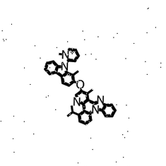 Cc1c(Oc2ccc3c4ccccc4n(-c4cccc[n+]4C)c3c2C)cnc2c3c(C(C)C)cccc3n3c4ccccc4nc3c12